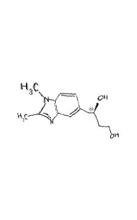 Cc1nc2cc([C@@H](O)CCO)ccc2n1C